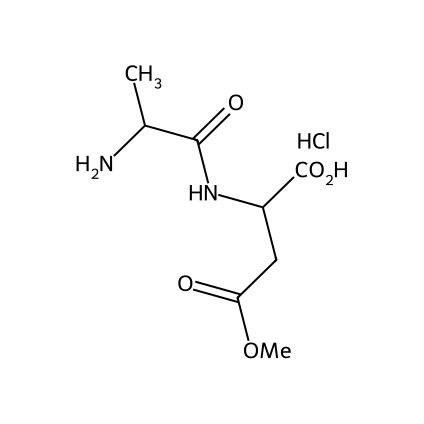 COC(=O)CC(NC(=O)C(C)N)C(=O)O.Cl